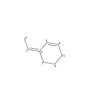 CC=C1C=CCCC1